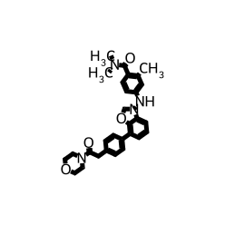 Cc1cc(NN2COc3c(-c4ccc(CC(=O)N5CCOCC5)cc4)cccc32)ccc1C(=O)N(C)C